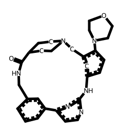 O=C1NCc2cccc(c2)-c2ccnc(n2)Nc2ccc(N3CCOCC3)c(c2)CN2CCC1CC2